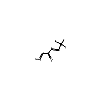 CC=CC(=O)/C=C/C(C)(C)C